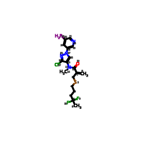 C=C(CSCCCC(C)(F)F)C(=O)N(C)c1cn(-c2cncc(P)c2)nc1Cl